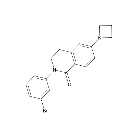 O=C1c2ccc(N3CCC3)cc2CCN1c1cccc(Br)c1